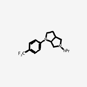 CCCN1CC2CCN(c3ccc(C(F)(F)F)cc3)C2C1